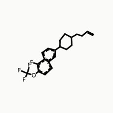 C=CCCC1CCC(c2ccc3c(F)c(OC(F)(F)F)ccc3c2)CC1